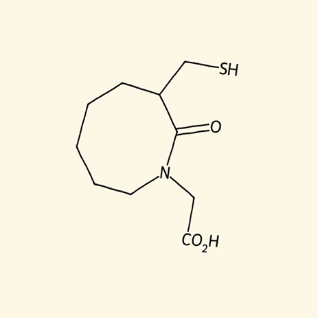 O=C(O)CN1CCCCCC(CS)C1=O